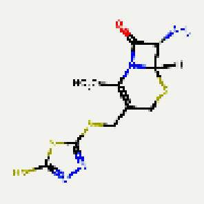 N[C@@H]1C(=O)N2C(C(=O)O)=C(CSc3nnc(S)s3)CS[C@@H]12